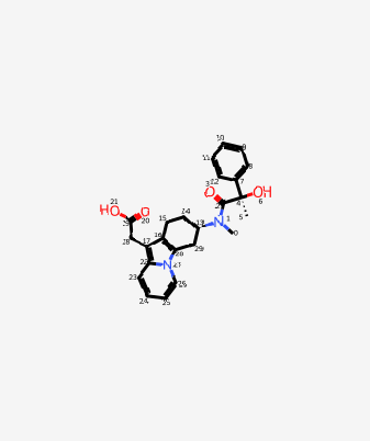 CN(C(=O)[C@](C)(O)c1ccccc1)[C@@H]1CCc2c(CC(=O)O)c3ccccn3c2C1